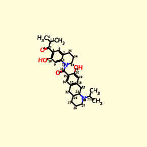 CC(C)C(=O)c1cc2c(cc1O)N(C(=O)c1cc3c(cc1O)CC1C(CCCN1C(C)C)C3)CCC2